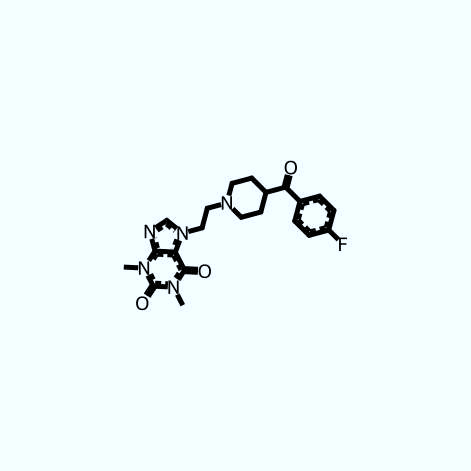 Cn1c(=O)c2c(ncn2CCN2CCC(C(=O)c3ccc(F)cc3)CC2)n(C)c1=O